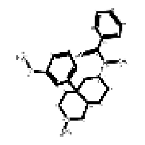 COc1cccc(C23CCN(C)CC2CC[C@@H](N(C)C(=O)c2ccccc2)C3)c1